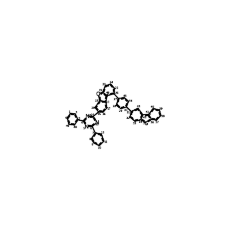 c1ccc(-c2nc(-c3ccccc3)nc(-c3ccc4c(c3)oc3cccc(-c5ccc(-c6ccc7sc8ccccc8c7c6)cc5)c34)n2)cc1